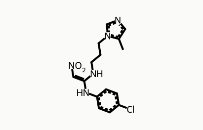 Cc1cncn1CCCN/C(=C\[N+](=O)[O-])Nc1ccc(Cl)cc1